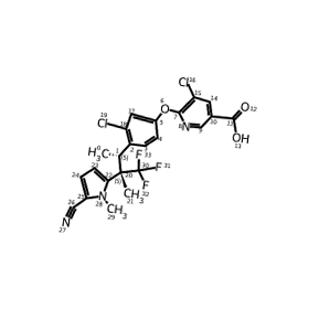 C[C@H](c1ccc(Oc2ncc(C(=O)O)cc2Cl)cc1Cl)[C@@](C)(c1ccc(C#N)n1C)C(F)(F)F